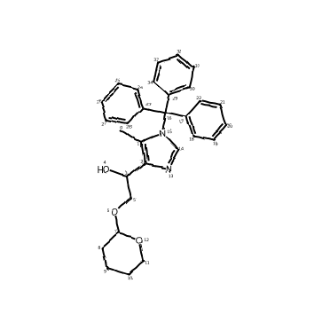 Cc1c(C(O)COC2CCCCO2)ncn1C(c1ccccc1)(c1ccccc1)c1ccccc1